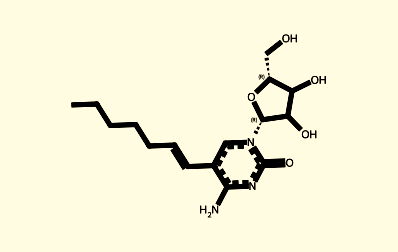 CCCCCC=Cc1cn([C@@H]2O[C@H](CO)C(O)C2O)c(=O)nc1N